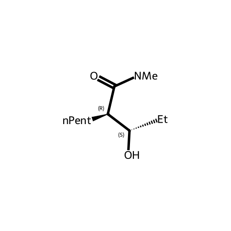 CCCCC[C@@H](C(=O)NC)[C@@H](O)CC